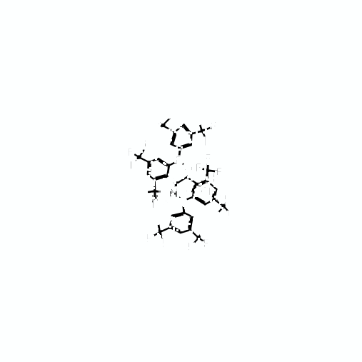 CN(C(=O)[C@H](OP(c1cc(C(F)(F)F)cc(C(F)(F)F)c1)c1cc(C(F)(F)F)cc(C(F)(F)F)c1)C(C)(C)C)P(c1cc(C(F)(F)F)cc(C(F)(F)F)c1)c1cc(C(F)(F)F)cc(C(F)(F)F)c1